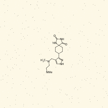 CNCCN(C)Cc1c[nH]nc1C1CCC2(CC1)NC(=O)NC2=O